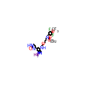 CC(C)(C)OC(=O)N(CCCCOCCNc1cc(-c2cc[nH]c(=O)n2)cc2c1cnn2PI)Cc1cc(F)c(OC(F)(F)F)c(F)c1